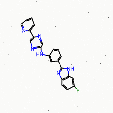 Fc1ccc2nc(-c3cccc(Nc4cnc(-c5ccccn5)cn4)c3)[nH]c2c1